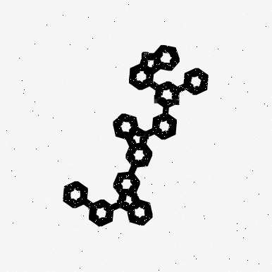 c1ccc(-c2cccc(-n3c4ccccc4c4cc(-c5ccc6c(c5)c5ccccc5n6-c5cccc(-c6nc(-c7ccccc7)cc(-c7cccc8oc9ccccc9c78)n6)c5)ccc43)c2)cc1